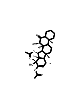 CC(=O)OC1=C[C@@H](C)C2[C@@H]([C@H](OC(C)=O)C3[C@H]4C(CC[C@@]32C)[C@@]2(C)CCCCC2C(=O)[C@@H]4O)[C@@]1(C)O